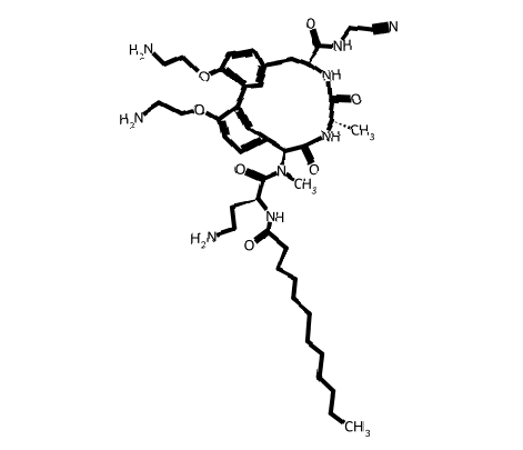 CCCCCCCCCCCC(=O)N[C@@H](CCN)C(=O)N(C)[C@@H]1C(=O)N[C@@H](C)C(=O)N[C@H](C(=O)NCC#N)Cc2ccc(OCCN)c(c2)-c2cc1ccc2OCCN